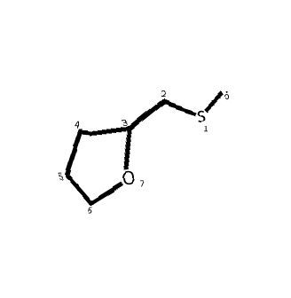 [CH2]SCC1CCCO1